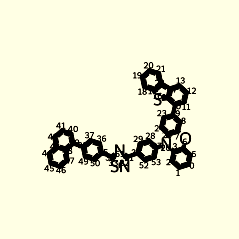 c1ccc2c(c1)Oc1cc(-c3cccc4c3sc3ccccc34)ccc1N2c1ccc(-c2nsc(-c3ccc(-c4cccc5ccccc45)cc3)n2)cc1